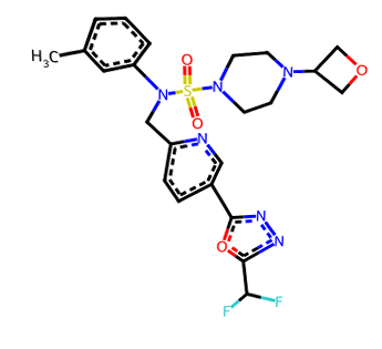 Cc1cccc(N(Cc2ccc(-c3nnc(C(F)F)o3)cn2)S(=O)(=O)N2CCN(C3COC3)CC2)c1